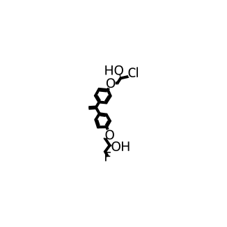 C=C(c1ccc(OC[C@H](O)CCl)cc1)c1ccc(OC[C@@H](O)CF)cc1